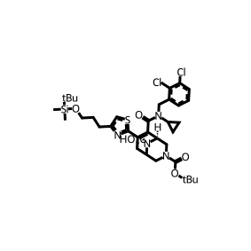 CC(C)(C)OC(=O)N1CC2CC(c3nc(CCCO[Si](C)(C)C(C)(C)C)cs3)=C(C(=O)N(Cc3cccc(Cl)c3Cl)C3CC3)[C@@H](C1)N2C(=O)O